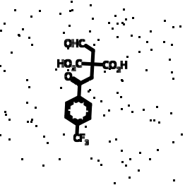 O=CCC(CC(=O)c1ccc(C(F)(F)F)cc1)(C(=O)O)C(=O)O